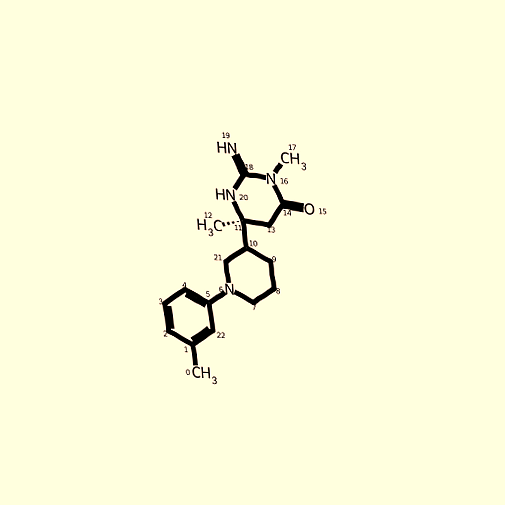 Cc1cccc(N2CCCC([C@]3(C)CC(=O)N(C)C(=N)N3)C2)c1